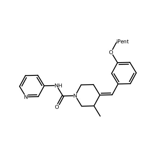 CCCC(C)Oc1cccc(C=C2CCN(C(=O)Nc3cccnc3)CC2C)c1